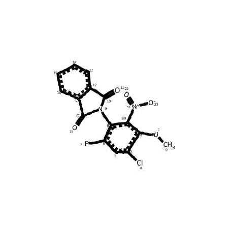 COc1c(Cl)cc(F)c(N2C(=O)c3ccccc3C2=O)c1[N+](=O)[O-]